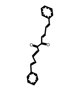 O=C(/C=C/C=C/c1ccccc1)C(=O)/C=C/C=C/c1ccccc1